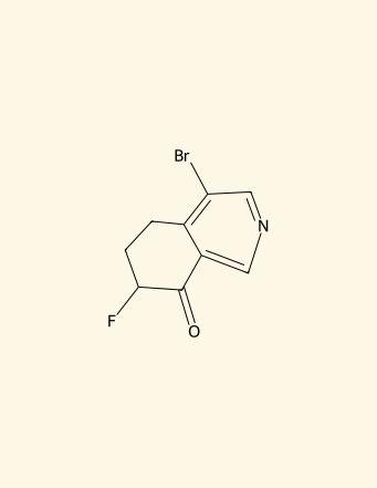 O=C1c2cncc(Br)c2CCC1F